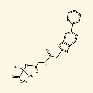 COC(=O)C(C)(C)NC(=O)CNC(=O)Cc1nc2ccc(-c3ccccc3)cc2s1